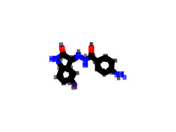 Nc1ccc(C(=O)N/N=C2/C(=O)Nc3ccc(I)cc32)cc1